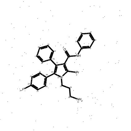 CC(C)c1c(C(=O)Nc2ccccc2)c(-c2ccccc2)c(-c2ccc(F)cc2)n1CCCN